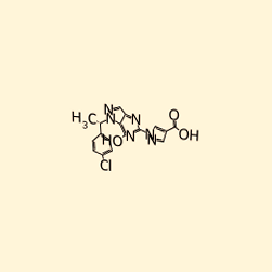 C[C@@H](c1ccc(Cl)cc1)n1ncc2nc(-n3cc(C(=O)O)cn3)nc(O)c21